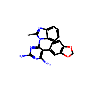 CCc1nc2ccccc2n1-c1nc(N)nc(N)c1-c1ccc2c(c1)OCO2